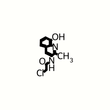 Cc1nc2c(O)cccc2cc1NC(=O)CCl